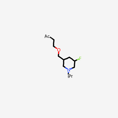 CC(=O)CCOCC1CC(F)CN(C(C)C)C1